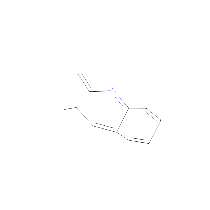 C=C/N=C1/C=CC=C/C1=C/CC